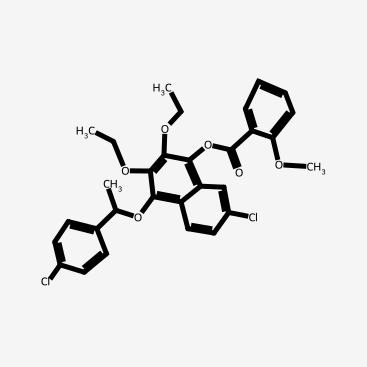 CCOc1c(OCC)c(OC(C)c2ccc(Cl)cc2)c2ccc(Cl)cc2c1OC(=O)c1ccccc1OC